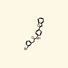 O=C(Cc1cccc(Br)c1)Nc1ccc(-c2cc3ccccc3o2)cc1